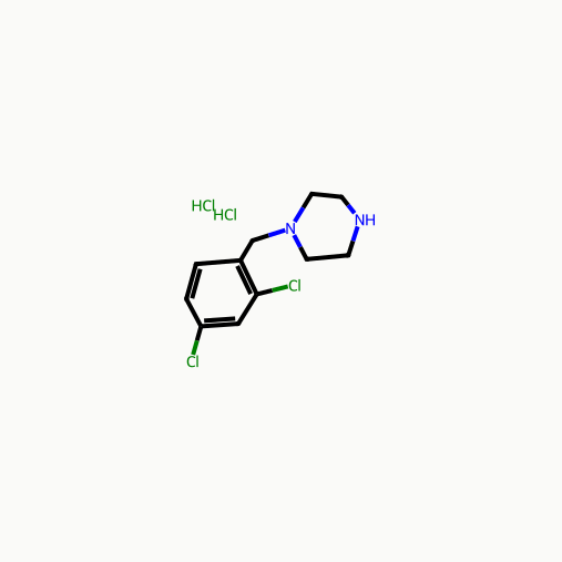 Cl.Cl.Clc1ccc(CN2CCNCC2)c(Cl)c1